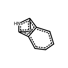 c1ccc2c3[nH]c(o3)c2c1